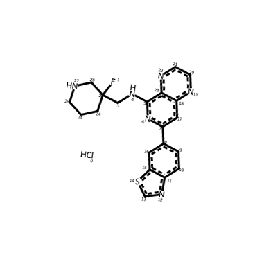 Cl.FC1(CNc2nc(-c3ccc4ncsc4c3)cc3nccnc23)CCCNC1